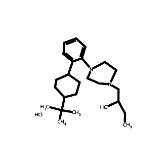 CCC(O)CN1CCN(c2ccccc2C2CCC(C(C)(C)C)CC2)CC1.Cl